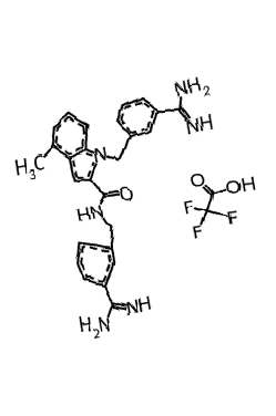 Cc1cccc2c1cc(C(=O)NCc1cccc(C(=N)N)c1)n2Cc1cccc(C(=N)N)c1.O=C(O)C(F)(F)F